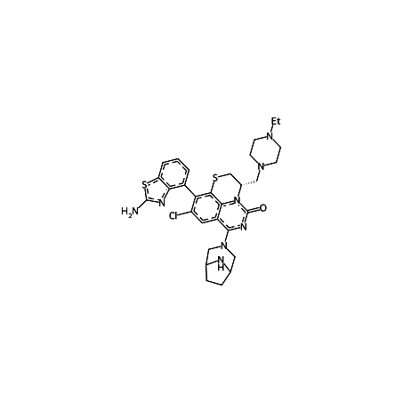 CCN1CCN(C[C@H]2CSc3c(-c4cccc5sc(N)nc45)c(Cl)cc4c(N5CC6CCC(C5)N6)nc(=O)n2c34)CC1